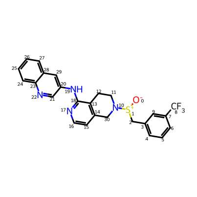 [O-][S+](Cc1cccc(C(F)(F)F)c1)N1CCc2c(ccnc2Nc2cnc3ccccc3c2)C1